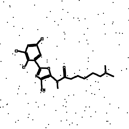 CN(C)CCCCCC(=O)N(C)c1oc(-c2cc(Cl)cc(Cl)c2Cl)nc1C#N